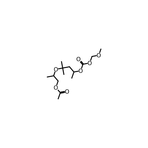 COCOC(=O)OC(C)CC(C)(C)OC(C)COC(C)=O